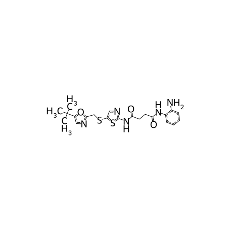 CC(C)(C)c1cnc(CSc2cnc(NC(=O)CCC(=O)Nc3ccccc3N)s2)o1